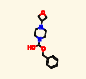 OC(OCc1ccccc1)N1CCN(C2COC2)CC1